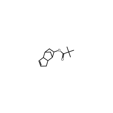 CC(C)(C)C(=O)OC1CC2CC1C1CC=CC21